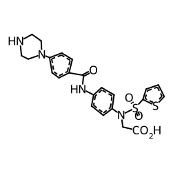 O=C(O)CN(c1ccc(NC(=O)c2ccc(N3CCNCC3)cc2)cc1)S(=O)(=O)c1cccs1